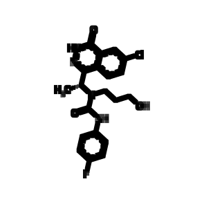 C[C@H](c1n[nH]c(=O)c2cc(Cl)ccc12)N(CCCO)C(=O)Nc1ccc(F)cc1